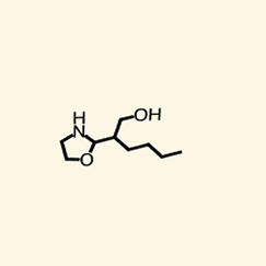 CCCCC(CO)C1NCCO1